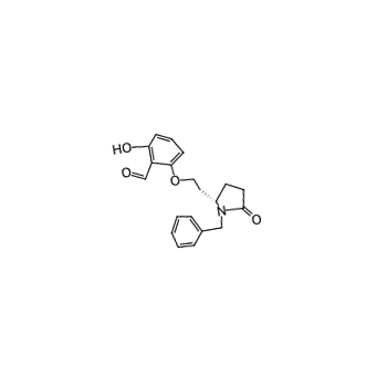 O=Cc1c(O)cccc1OCC[C@@H]1CCC(=O)N1Cc1ccccc1